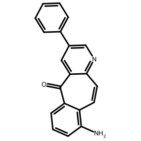 Nc1cccc2c(=O)c3cc(-c4ccccc4)cnc3ccc12